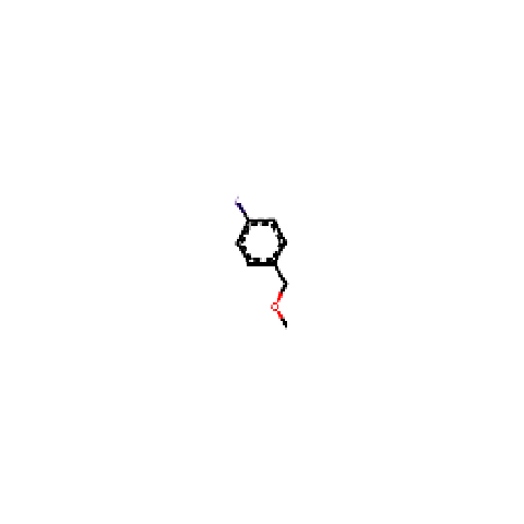 COCc1ccc(I)cc1